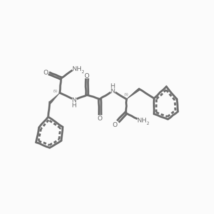 NC(=O)[C@H](Cc1ccccc1)NC(=O)C(=O)N[C@@H](Cc1ccccc1)C(N)=O